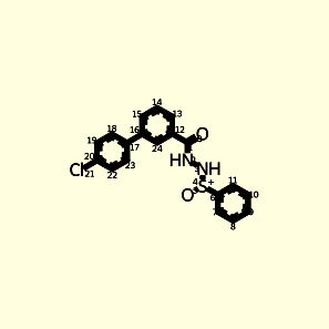 O=C(NN[S+]([O-])c1ccccc1)c1cccc(-c2ccc(Cl)cc2)c1